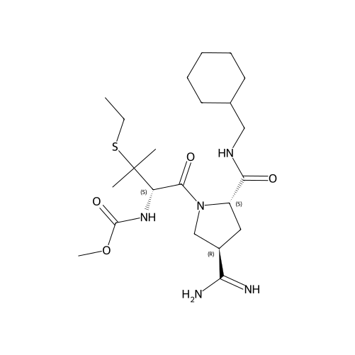 CCSC(C)(C)[C@@H](NC(=O)OC)C(=O)N1C[C@H](C(=N)N)C[C@H]1C(=O)NCC1CCCCC1